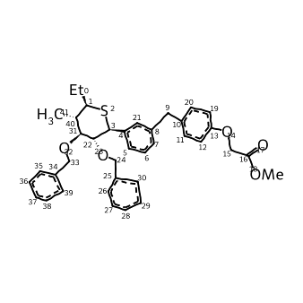 CC[C@H]1S[C@@H](c2cccc(Cc3ccc(OCC(=O)OC)cc3)c2)[C@H](OCc2ccccc2)[C@@H](OCc2ccccc2)[C@@H]1C